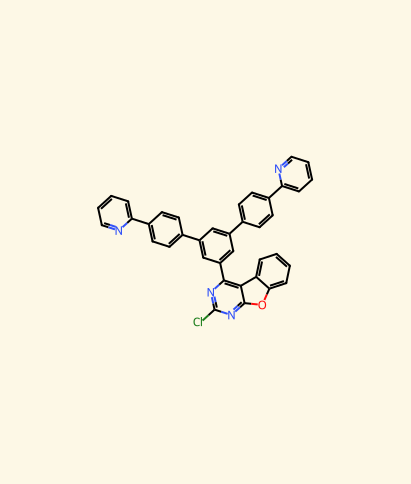 Clc1nc(-c2cc(-c3ccc(-c4ccccn4)cc3)cc(-c3ccc(-c4ccccn4)cc3)c2)c2c(n1)oc1ccccc12